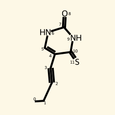 CCC#Cc1c[nH]c(=O)[nH]c1=S